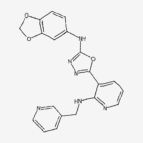 c1cncc(CNc2ncccc2-c2nnc(Nc3ccc4c(c3)OCO4)o2)c1